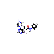 CC(CC(=O)N(C)c1ccccc1)c1c(I)ncnc1N1CCNCC1